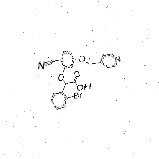 N#Cc1ccc(OCc2ccncc2)cc1OC(C(=O)O)c1ccccc1Br